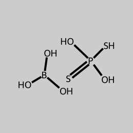 OB(O)O.OP(O)(=S)S